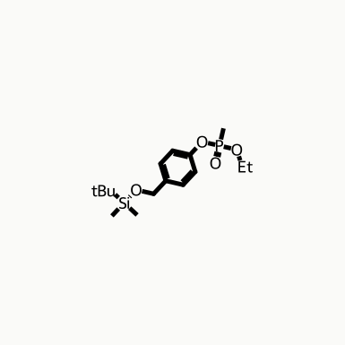 CCOP(C)(=O)Oc1ccc(CO[Si](C)(C)C(C)(C)C)cc1